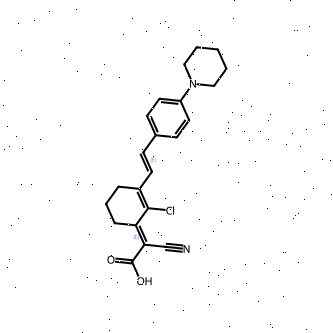 N#C/C(C(=O)O)=C1/CCCC(/C=C/c2ccc(N3CCCCC3)cc2)=C1Cl